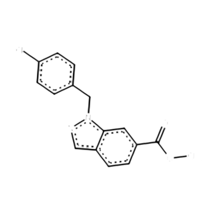 COC(=O)c1ccc2cnn(Cc3ccc(Cl)cc3)c2c1